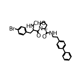 O=CNC(Cc1ccc(Br)cc1)C(=O)N1CCC[C@H]1C(=O)NCCc1ccc(-c2ccccc2)cc1